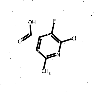 Cc1ccc(F)c(Cl)n1.O=CO